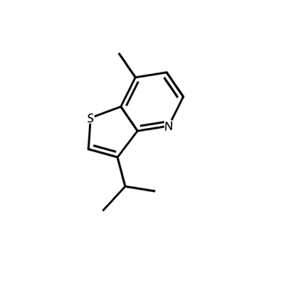 Cc1ccnc2c(C(C)C)csc12